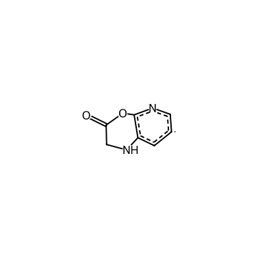 O=C1CNc2c[c]cnc2O1